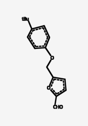 CC(C)(C)c1ccc(OCc2ccc(C=O)o2)cc1